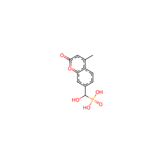 Cc1cc(=O)oc2cc(C(O)P(=O)(O)O)ccc12